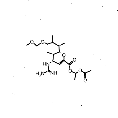 COCOC[C@@H](C)[C@@H](C)[C@@H]1OC(C(=O)OC(C)OC(C)=O)=C[C@H](NC(=N)N)[C@H]1C